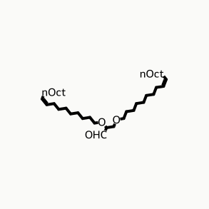 CCCCCCCC/C=C\CCCCCCCCOCC(C=O)OCCCCCCCC/C=C\CCCCCCCC